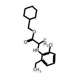 CCc1cccc(Cl)c1NC(C)C(=O)OCC1CCCCC1